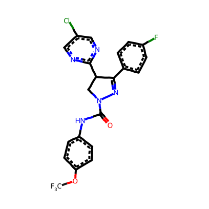 O=C(Nc1ccc(OC(F)(F)F)cc1)N1CC(c2ncc(Cl)cn2)C(c2ccc(F)cc2)=N1